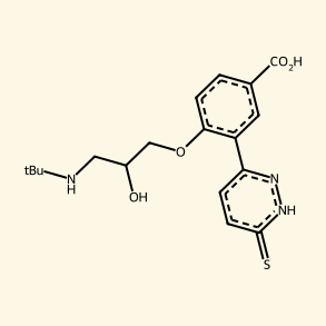 CC(C)(C)NCC(O)COc1ccc(C(=O)O)cc1-c1ccc(=S)[nH]n1